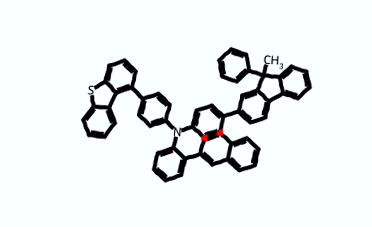 CC1(c2ccccc2)c2ccccc2-c2ccc(-c3ccc(N(c4ccc(-c5cccc6sc7ccccc7c56)cc4)c4ccccc4-c4ccc5ccccc5c4)cc3)cc21